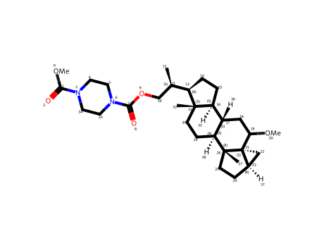 COC(=O)N1CCN(C(=O)OC[C@@H](C)[C@H]2CC[C@H]3[C@@H]4CC(OC)[C@@]56C[C@H]5CC[C@]6(C)[C@H]4CC[C@]23C)CC1